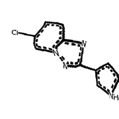 Clc1ccc2nc(-c3cc[nH]c3)nn2c1